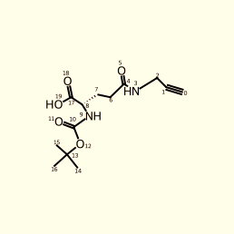 C#CCNC(=O)CC[C@H](NC(=O)OC(C)(C)C)C(=O)O